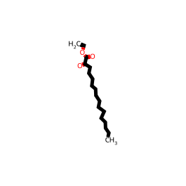 C=COC(=O)C(=O)CCCCCCCCCCCCCC